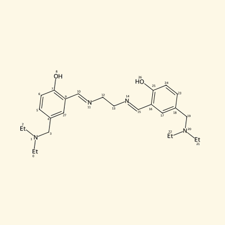 CCN(CC)Cc1ccc(O)c(C=NCCN=Cc2cc(CN(CC)CC)ccc2O)c1